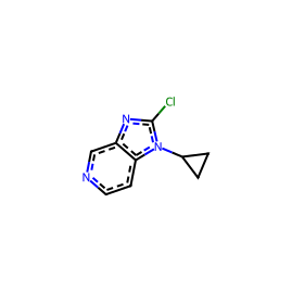 Clc1nc2cnccc2n1C1CC1